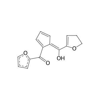 O=C(C1=CC=C/C1=C(/O)C1=CCCO1)c1ccco1